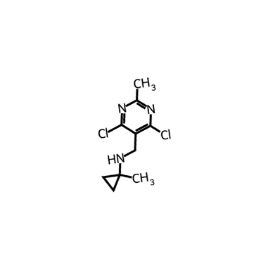 Cc1nc(Cl)c(CNC2(C)CC2)c(Cl)n1